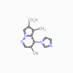 Cc1c(C(=O)O)cn2ncc(C#N)c(-n3ccnc3)c12